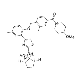 COC1CCN(C(=O)c2ccc(COc3ccc(C)cc3-c3csc(N4C[C@H]5CC[C@@H](C4)[C@H]5C(=O)O)n3)c(C)c2)CC1